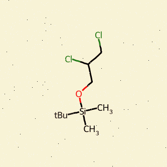 CC(C)(C)[Si](C)(C)OCC(Cl)CCl